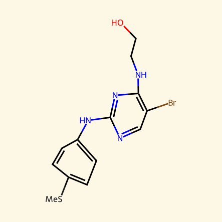 CSc1ccc(Nc2ncc(Br)c(NCCO)n2)cc1